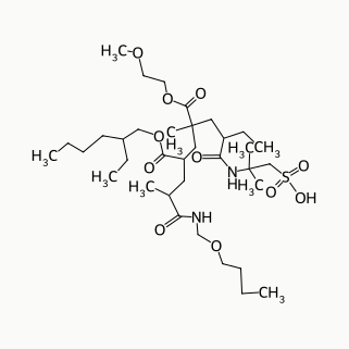 CCCCOCNC(=O)C(C)CC(CC(C)(CC(CC)C(=O)NC(C)(C)CS(=O)(=O)O)C(=O)OCCOC)C(=O)OCC(CC)CCCC